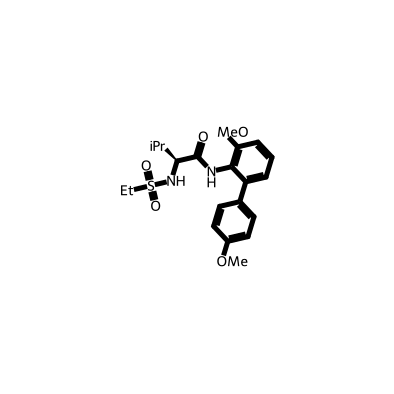 CCS(=O)(=O)N[C@H](C(=O)Nc1c(OC)cccc1-c1ccc(OC)cc1)C(C)C